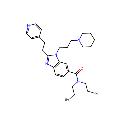 CC(C)CCN(CCC(C)C)C(=O)c1ccc2nc(CCc3ccncc3)n(CCCN3CCCCC3)c2c1